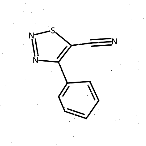 N#Cc1snnc1-c1ccccc1